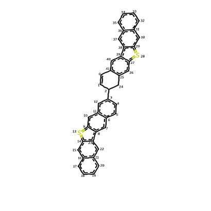 C1=CC(c2ccc3cc4c(cc3c2)sc2cc3ccccc3cc24)Cc2cc3sc4cc5ccccc5cc4c3cc21